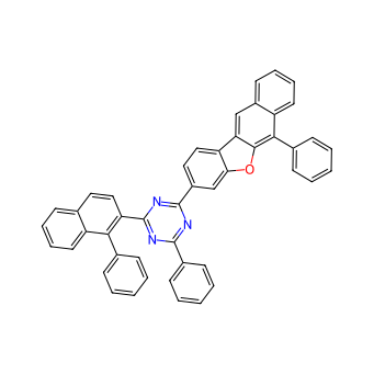 c1ccc(-c2nc(-c3ccc4c(c3)oc3c(-c5ccccc5)c5ccccc5cc34)nc(-c3ccc4ccccc4c3-c3ccccc3)n2)cc1